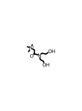 C[N+](C)(C)CC(=O)N(CCO)CCO